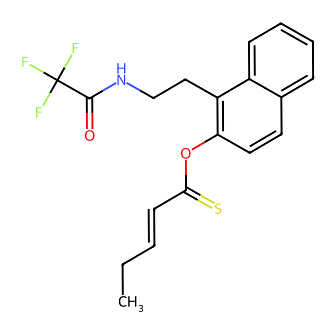 CCC=CC(=S)Oc1ccc2ccccc2c1CCNC(=O)C(F)(F)F